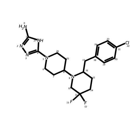 Nc1nnc(N2CCC(N3CC(F)(F)CCC3Cc3ccc(Cl)cc3)CC2)[nH]1